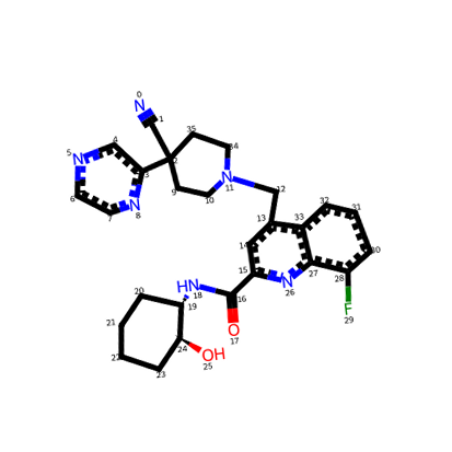 N#CC1(c2cnccn2)CCN(Cc2cc(C(=O)N[C@H]3CCCC[C@@H]3O)nc3c(F)cccc23)CC1